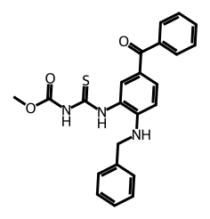 COC(=O)NC(=S)Nc1cc(C(=O)c2ccccc2)ccc1NCc1ccccc1